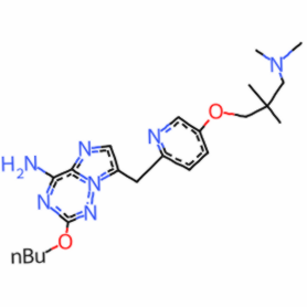 CCCCOc1nc(N)c2ncc(Cc3ccc(OCC(C)(C)CN(C)C)cn3)n2n1